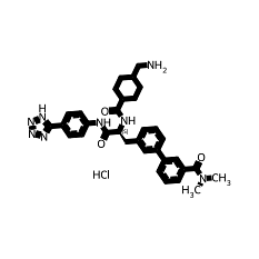 CN(C)C(=O)c1cccc(-c2cccc(C[C@H](NC(=O)C3CCC(CN)CC3)C(=O)Nc3ccc(-c4nnn[nH]4)cc3)c2)c1.Cl